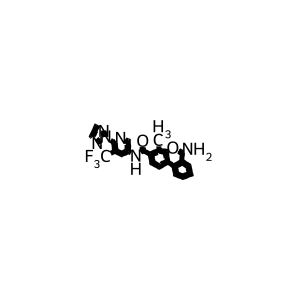 Cc1cc(-c2ccccc2C(N)=O)ccc1C(=O)Nc1cnc(-n2nccn2)c(C(F)(F)F)c1